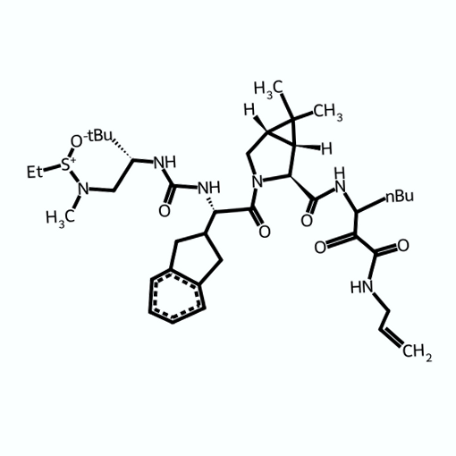 C=CCNC(=O)C(=O)C(CCCC)NC(=O)[C@@H]1[C@@H]2[C@H](CN1C(=O)[C@@H](NC(=O)N[C@H](CN(C)[S+]([O-])CC)C(C)(C)C)C1Cc3ccccc3C1)C2(C)C